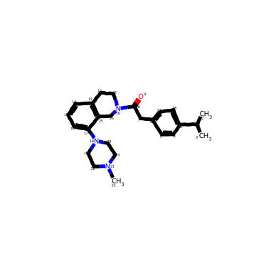 CC(C)c1ccc(CC(=O)N2CCc3cccc(N4CCN(C)CC4)c3C2)cc1